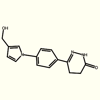 O=C1CCC(c2ccc(-n3ccc(CO)c3)cc2)=NN1